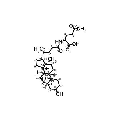 CC(CCC(=O)NC(CCC(N)=O)C(=O)O)[C@H]1CC[C@H]2[C@@H]3CC[C@@H]4C[C@H](O)CC[C@]4(C)[C@H]3CC[C@]12C